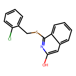 Oc1cc2ccccc2c(SCc2ccccc2Cl)n1